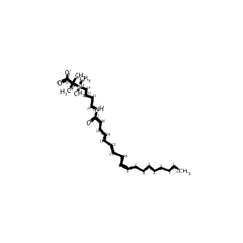 CCCCCCCC/C=C\CCCCCCCC(=O)NCCCC[N+](C)(C)C(C)(C)C(=O)[O-]